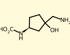 NCC1(O)CC[C@H](NC(=O)O)C1